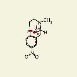 CN1CC[C@]23CCCC[C@H]2[C@H]1Cc1cc([N+](=O)[O-])ccc13